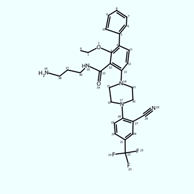 CCOc1c(-c2ccccc2)ccc(N2CCN(c3ccc(C(F)(F)F)cc3C#N)CC2)c1C(=O)NCCCN